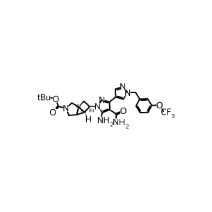 CC(C)(C)OC(=O)N1CC2[C@@H]3[C@H](n4nc(-c5cnn(Cc6cccc(OC(F)(F)F)c6)c5)c(C(N)=O)c4N)C[C@]23C1